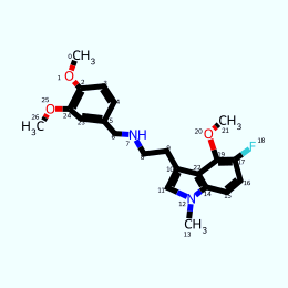 COc1ccc(CNCCc2cn(C)c3ccc(F)c(OC)c23)cc1OC